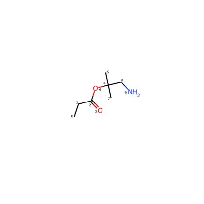 CCC(=O)OC(C)(C)CN